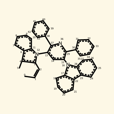 C/C=C\c1c(C)c2ccccc2n1-c1cc(-n2c3ccccc3c3ccccc32)c(-c2ccccc2)nc1-c1ccccc1